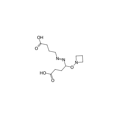 O=C(O)CCCN=NC(CCC(=O)O)ON1CCC1